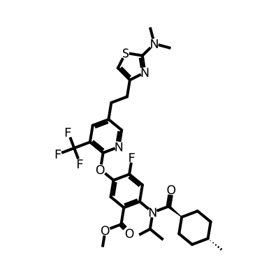 COC(=O)c1cc(Oc2ncc(CCc3csc(N(C)C)n3)cc2C(F)(F)F)c(F)cc1N(C(=O)[C@H]1CC[C@H](C)CC1)C(C)C